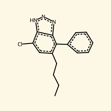 CCCCc1cc(Cl)c2[nH]nnc2c1-c1ccccc1